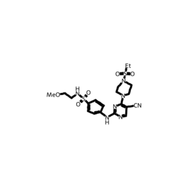 CCS(=O)(=O)N1CCN(c2nc(Nc3ccc(S(=O)(=O)NCCOC)cc3)ncc2C#N)CC1